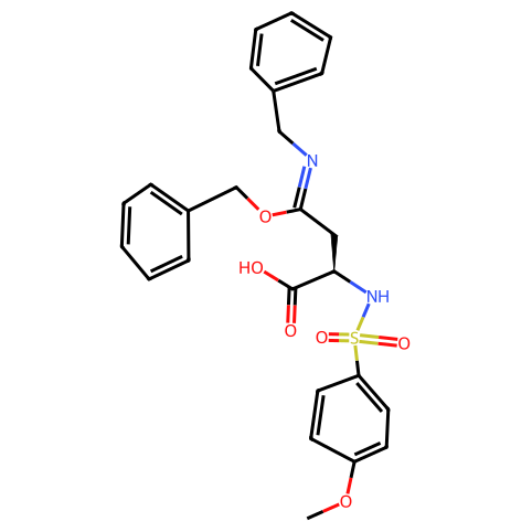 COc1ccc(S(=O)(=O)N[C@H](CC(=NCc2ccccc2)OCc2ccccc2)C(=O)O)cc1